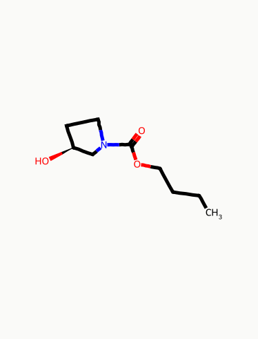 CCCCOC(=O)N1CC[C@H](O)C1